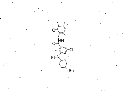 CCN(c1cc(Cl)cc(C(=O)NCC2=C(C)C=C(C)C(C)C2=O)c1C)C1CCC(C(C)(C)C)CC1